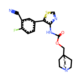 N#Cc1cc(-c2scnc2NC(=O)OCC23CCN(CC2)CC3)ccc1F